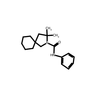 CC1(C)CC2(CCCCC2)CN1C(=O)Nc1ccccc1